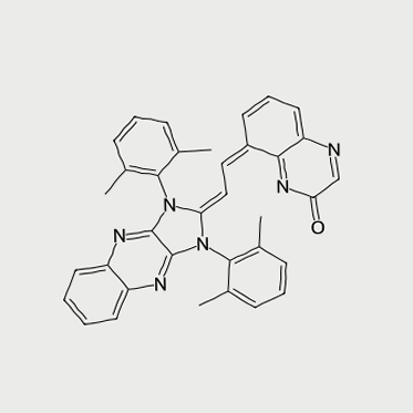 Cc1cccc(C)c1N1C(=C/C=c2/cccc3c2=NC(=O)C=N3)N(c2c(C)cccc2C)c2nc3ccccc3nc21